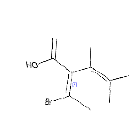 C=C(O)/C(C(C)=C(C)C)=C(/C)Br